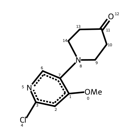 COc1cc(Cl)ncc1N1CCC(=O)CC1